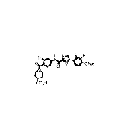 CCc1cc(NC(=O)c2ncc(-c3ccc(OC)c(F)c3F)n2C)ccc1C(=O)N1CCC(C(=O)O)CC1